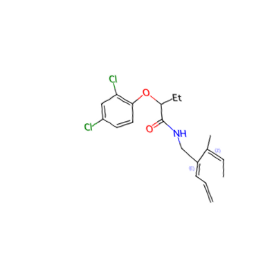 C=C/C=C(CNC(=O)C(CC)Oc1ccc(Cl)cc1Cl)\C(C)=C/C